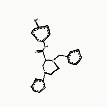 Nc1ccc(NC(=O)C2CN(c3ccccc3)CCN2Cc2ccccc2)cc1